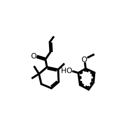 C/C=C/C(=O)C1=C(C)C=CCC1(C)C.COc1ccccc1O